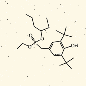 CCCC(CC)OP(=O)(Cc1cc(C(C)(C)C)c(O)c(C(C)(C)C)c1)OCC